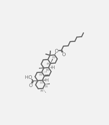 CCCCCCCC(=O)O[C@H]1CC[C@@]2(C)C(CC[C@]3(C)[C@@H]2CC=C2[C@@H]4[C@@H](C)[C@H](C)CC[C@]4(C(=O)O)CC[C@]23C)C1(C)C